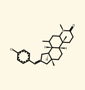 CC1CC2N(C)C(=O)CC[C@]2(C)[C@@H]2CC[C@]3(C)CC(=Cc4ccc(Cl)cc4)C[C@H]3[C@H]12